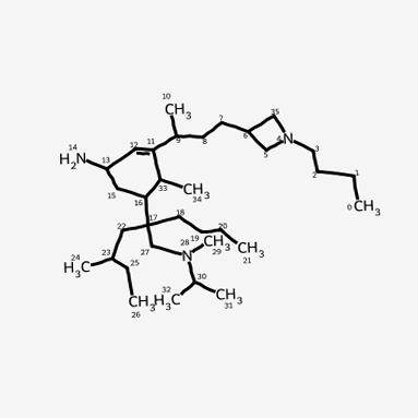 CCCCN1CC(CCC(C)C2=CC(N)CC(C(CCCC)(CC(C)CC)CN(C)C(C)C)C2C)C1